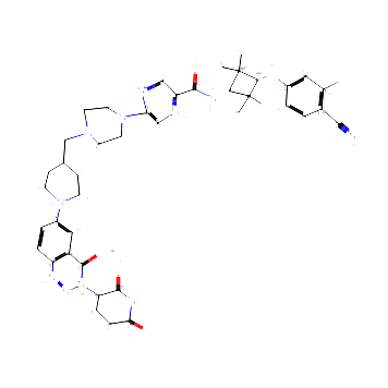 CC1(C)[C@H](NC(=O)c2cnc(N3CCN(CC4CCN(c5ccc6nnn(C7CCC(=O)NC7=O)c(=O)c6c5)CC4)CC3)cn2)C(C)(C)[C@H]1Oc1ccc(C#N)c(Cl)c1